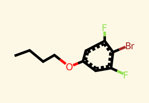 CCCCOc1cc(F)c(Br)c(F)c1